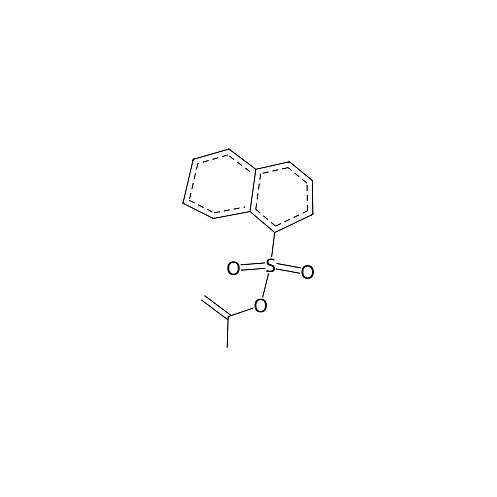 C=C(C)OS(=O)(=O)c1cccc2ccccc12